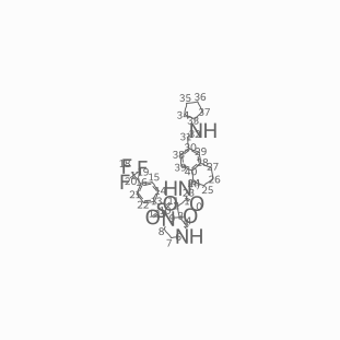 O=C(CC12OC1NCCN2S(=O)(=O)c1ccc(C(F)(F)F)cc1)N[C@@H]1CCCc2cc(CNC3CCCC3)ccc21